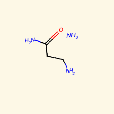 N.NCCC(N)=O